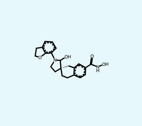 O=C(NO)c1ccc2c(c1)C[C@]1(CC2)CCN(c2cccc3c2OCC3)C1O